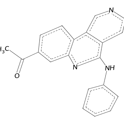 CC(=O)c1ccc2c(c1)nc(Nc1ccccc1)c1ccncc12